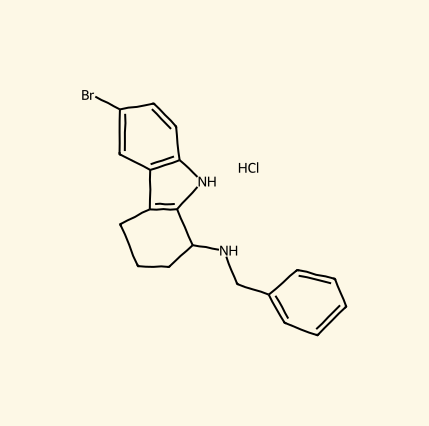 Brc1ccc2[nH]c3c(c2c1)CCCC3NCc1ccccc1.Cl